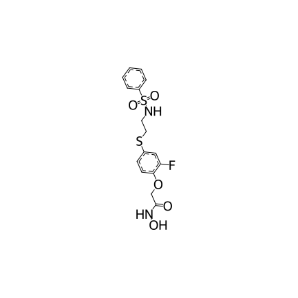 O=C(COc1ccc(SCCNS(=O)(=O)c2ccccc2)cc1F)NO